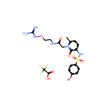 Cc1ccc(NS(=O)(=O)c2ccc(Br)cc2)c(=O)n1CC(=O)NCCONC(=N)N.O=C(O)C(F)(F)F